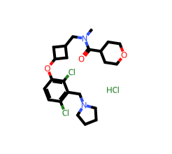 CN(CC1CC(Oc2ccc(Cl)c(CN3CCCC3)c2Cl)C1)C(=O)C1CCOCC1.Cl